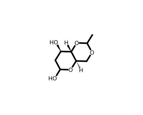 CC1OC[C@H]2OC(O)C[C@@H](O)[C@@H]2O1